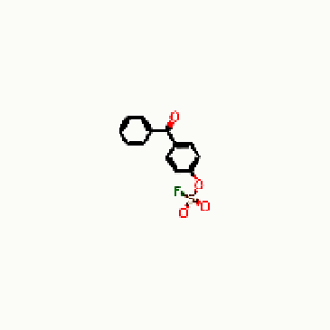 O=C(c1ccccc1)c1ccc(OS(=O)(=O)F)cc1